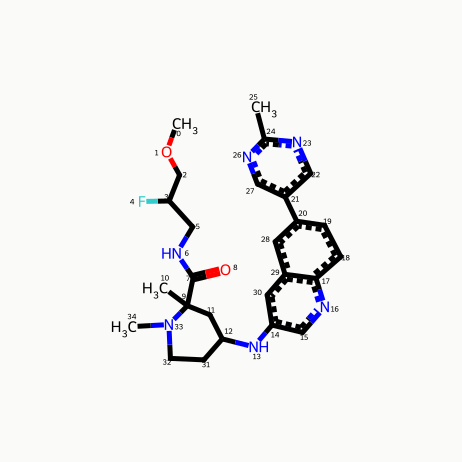 COCC(F)CNC(=O)C1(C)CC(Nc2cnc3ccc(-c4cnc(C)nc4)cc3c2)CCN1C